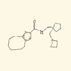 O=C(NCC1(CN2CCC2)CCCC1)c1cc2c(s1)CCCCCC2